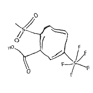 CS(=O)(=O)c1ccc(S(F)(F)(F)(F)F)cc1C(=O)O